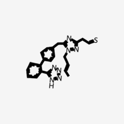 CC=CCn1nc(CC=S)nc1Cc1ccc(-c2ccccc2-c2nnn[nH]2)cc1